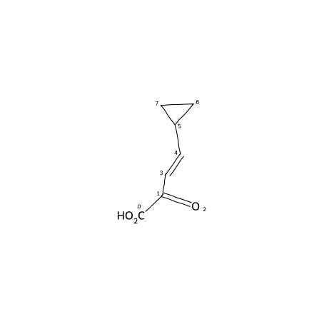 O=C(O)C(=O)/C=C/C1CC1